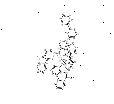 O=c1c2ccccc2c2cc(-c3cccc4sc5ccc(-n6c7ccccc7c7cc(-c8cccc(-c9ccccc9)c8)ccc76)cc5c34)cc3c4cc(-c5ccccc5)ccc4n1c23